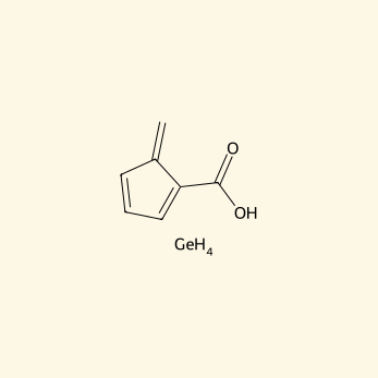 C=C1C=CC=C1C(=O)O.[GeH4]